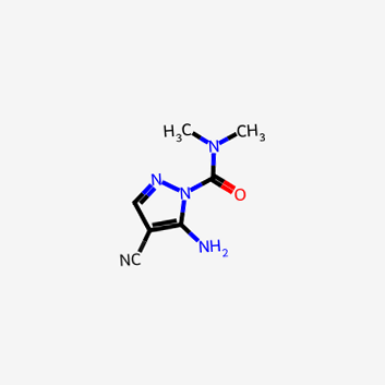 CN(C)C(=O)n1ncc(C#N)c1N